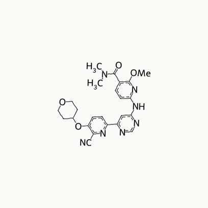 COc1nc(Nc2cc(-c3ccc(OC4CCOCC4)c(C#N)n3)ncn2)ccc1C(=O)N(C)C